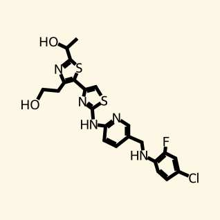 CC(O)c1nc(CCO)c(-c2csc(Nc3ccc(CNc4ccc(Cl)cc4F)cn3)n2)s1